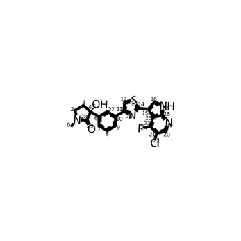 CN1CC[C@@](O)(c2cccc(-c3csc(-c4c[nH]c5ncc(Cl)c(F)c45)n3)c2)C1=O